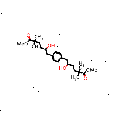 COC(=O)C(C)(C)CCC(O)Cc1ccc(CC(O)CCC(C)(C)C(=O)OC)cc1